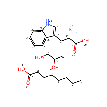 CC(O)CO.CCCCCCCC(=O)O.N[C@@H](Cc1c[nH]c2ccccc12)C(=O)O